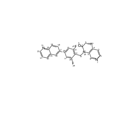 O=c1cnc2ccncc2n1Cc1c(F)cc(-c2ccc3ncccc3c2)cc1F